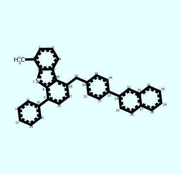 Cc1cccc2c1sc1c(-c3ccccc3)ccc(Cc3ccc(-c4ccc5ccccc5c4)cc3)c12